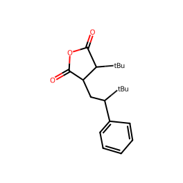 CC(C)(C)C(CC1C(=O)OC(=O)C1C(C)(C)C)c1ccccc1